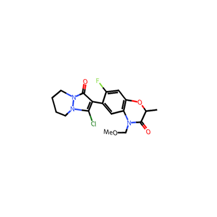 COCN1C(=O)C(C)Oc2cc(F)c(-c3c(Cl)n4n(c3=O)CCCC4)cc21